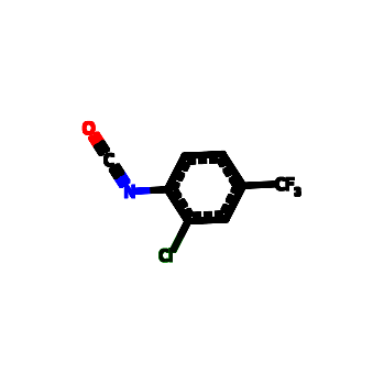 O=C=Nc1ccc(C(F)(F)F)cc1Cl